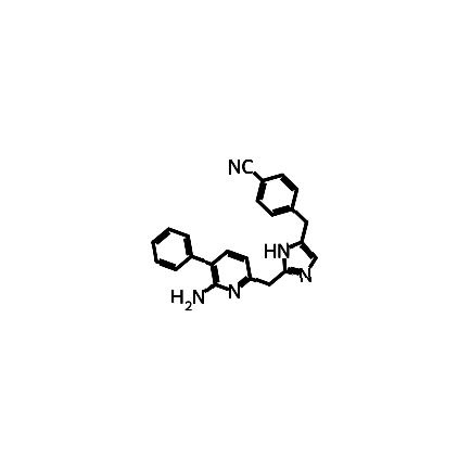 N#Cc1ccc(Cc2cnc(Cc3ccc(-c4ccccc4)c(N)n3)[nH]2)cc1